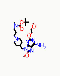 COCCOc1nc(N)c2nc(OC)n(CC3CCN(CCCN(C)C(=O)OC(C)(C)C)CC3)c2n1